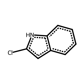 Clc1cc2ccccc2[nH]1